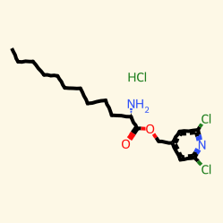 CCCCCCCCCC[C@H](N)C(=O)OCc1cc(Cl)nc(Cl)c1.Cl